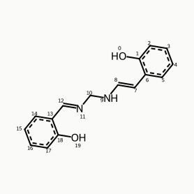 Oc1ccccc1C=CNCN=Cc1ccccc1O